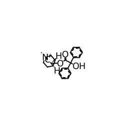 C[N@+]12CC[C@H](CC1)[C@@H](OC(=O)C(O)(c1ccccc1)c1ccccc1)C2